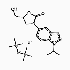 CC(C)n1ncc2cc(N3C[C@H](CO)OC3=O)ccc21.C[Si](C)(C)[N-][Si](C)(C)C.[Li+]